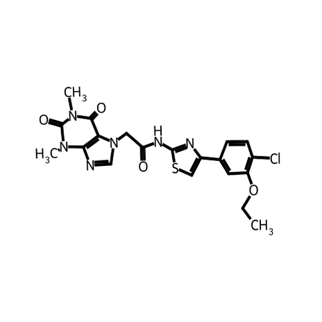 CCOc1cc(-c2csc(NC(=O)Cn3cnc4c3c(=O)n(C)c(=O)n4C)n2)ccc1Cl